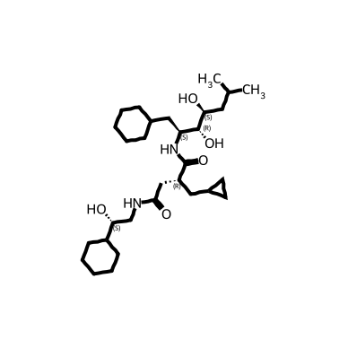 CC(C)C[C@H](O)[C@H](O)[C@H](CC1CCCCC1)NC(=O)[C@@H](CC(=O)NC[C@@H](O)C1CCCCC1)CC1CC1